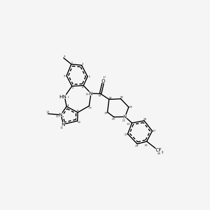 Cc1ccc2c(c1)Nc1c(cnn1C)CN2C(=O)C1CCN(c2ccc(C(F)(F)F)cc2)CC1